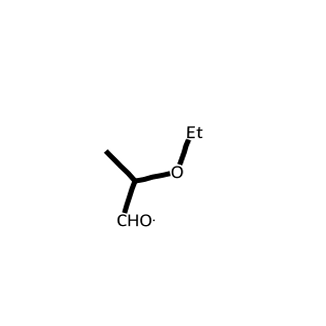 CCOC(C)[C]=O